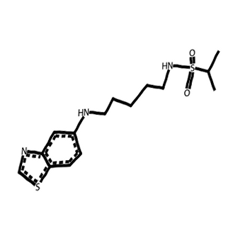 CC(C)S(=O)(=O)NCCCCCNc1ccc2scnc2c1